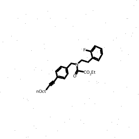 CCCCCCCCC#Cc1ccc(CN(CCc2ccccc2F)C(=O)C(=O)OCC)cc1